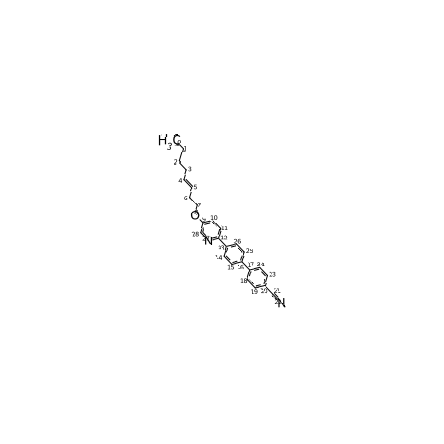 CCCCC=CCCOc1ccc(-c2ccc(-c3ccc(C#N)cc3)cc2)nc1